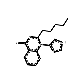 CCCCCc1nc(=O)c2ccccc2n1-c1c[nH]cn1